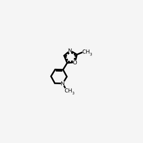 Cc1ncc(C2=CCCN(C)C2)o1